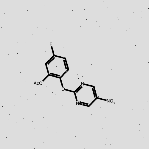 CC(=O)Oc1cc(F)ccc1Oc1ncc([N+](=O)[O-])cn1